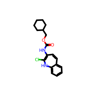 O=C(NC1=C(Cl)Nc2ccccc2C=C1)OCC1CCCCC1